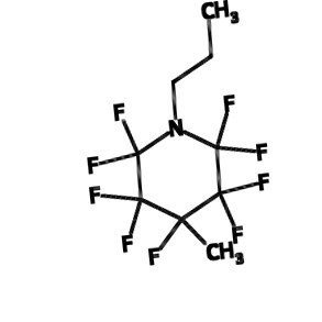 CCCN1C(F)(F)C(F)(F)C(C)(F)C(F)(F)C1(F)F